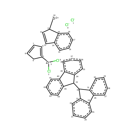 [Cl-].[Cl-].[Cl][Zr]([Cl])[C]1=CC=CC1.[Zr+2][CH]1C=Cc2ccccc21.c1ccc2c(c1)-c1ccccc1C2C1c2ccccc2-c2ccccc21